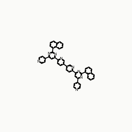 c1ccc2c(-c3nc(-c4ccncc4)cc(-c4ccc(-c5ccc(-c6cc(-c7ccncc7)nc(-c7cccc8ccccc78)n6)nc5)cn4)n3)cccc2c1